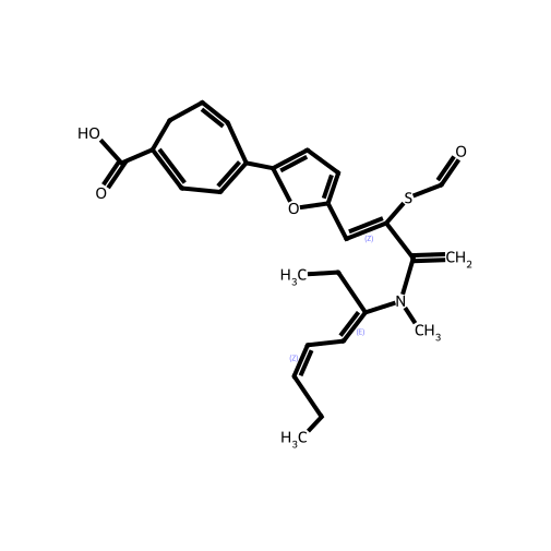 C=C(/C(=C/c1ccc(C2=CC=C(C(=O)O)CC=C2)o1)SC=O)N(C)/C(=C/C=C\CC)CC